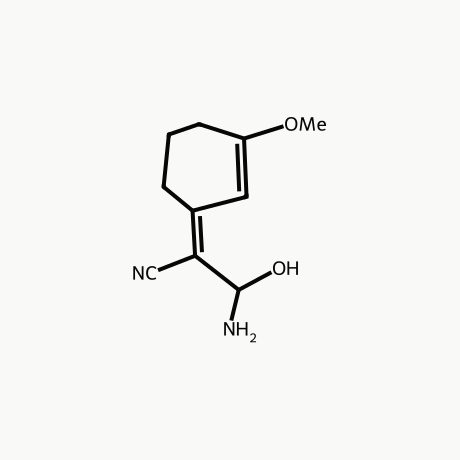 COC1=C/C(=C(/C#N)C(N)O)CCC1